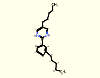 CCCCCc1cnc(-c2cccc(CCCCC)c2)nc1